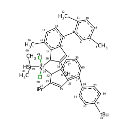 CC1=Cc2c(-c3cc(C)ccc3C)ccc(C)c2[CH]1[Zr]([Cl])([Cl])([CH]1C(C(C)C)=Cc2c(-c3ccc(C(C)(C)C)cc3)cccc21)[SiH](C)C